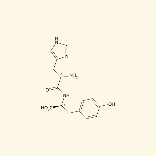 N[C@@H](Cc1c[nH]cn1)C(=O)N[C@@H](Cc1ccc(O)cc1)C(=O)O